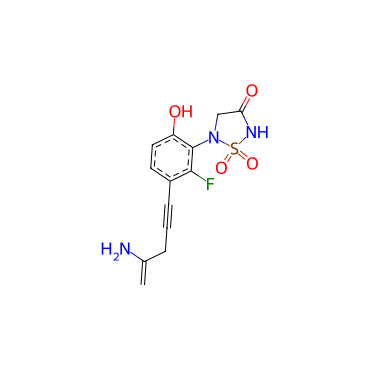 C=C(N)CC#Cc1ccc(O)c(N2CC(=O)NS2(=O)=O)c1F